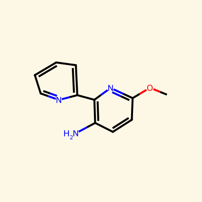 COc1ccc(N)c(-c2ccccn2)n1